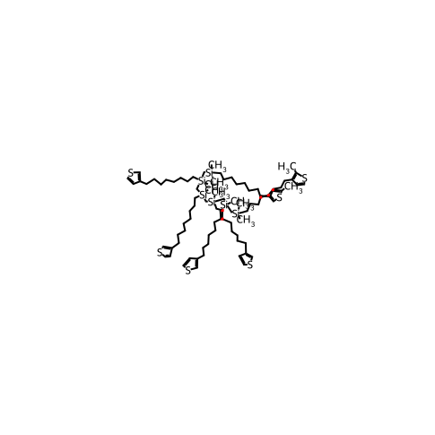 Cc1cc(CCCCCCCC[Si](C)(C)C[Si](C)(CCCCCCCCc2ccsc2)C[Si](C)(CCCCCCCCc2ccsc2)C[Si](C)(CCCCCCCCc2ccsc2)C[Si](C)(CCCCCCCCc2ccsc2)C[Si](C)(C)CCCCCCCCc2ccsc2C)cs1